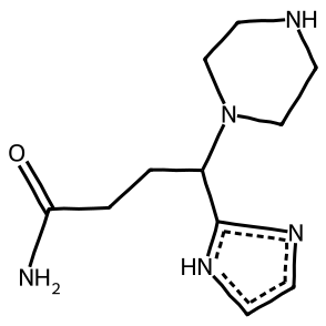 NC(=O)CCC(c1ncc[nH]1)N1CCNCC1